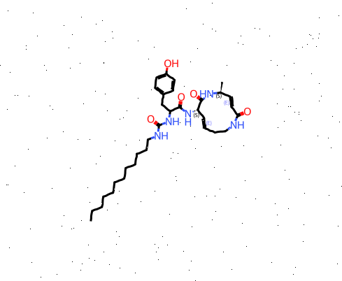 CCCCCCCCCCCCNC(=O)NC(Cc1ccc(O)cc1)C(=O)N[C@H]1/C=C/CCNC(=O)/C=C/[C@H](C)NC1=O